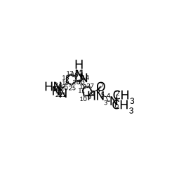 CN(C)CCNC(=O)c1cccc(-c2n[nH]c3ccc(-c4ncn[nH]4)cc23)c1